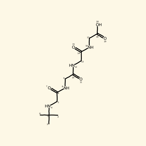 CC(C)(C)NCC(=O)NCC(=O)NCC(=O)NCC(=O)O